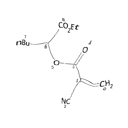 C=C(C#N)C(=O)OC(CCCC)C(=O)OCC